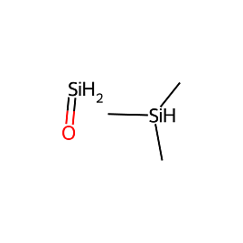 C[SiH](C)C.O=[SiH2]